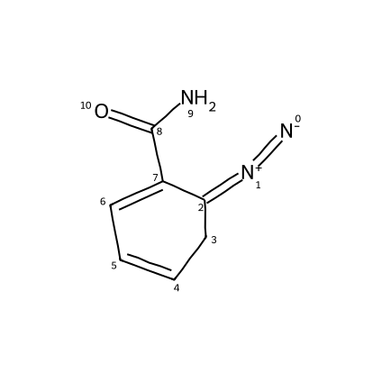 [N-]=[N+]=C1CC=CC=C1C(N)=O